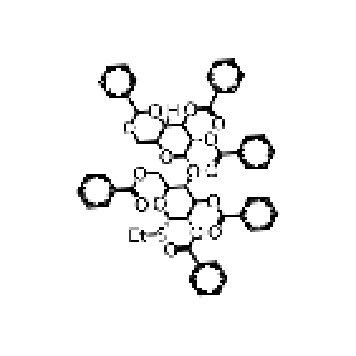 CCS[C@@H]1OC(COC(=O)c2ccccc2)[C@@H](O[C@@H]2OC3COC(c4ccccc4)O[C@@H]3C(OC(=O)c3ccccc3)[C@@H]2OC(=O)c2ccccc2)C(OC(=O)c2ccccc2)[C@@H]1OC(=O)c1ccccc1